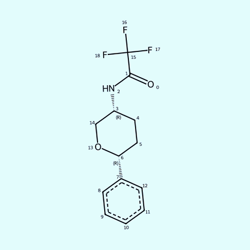 O=C(N[C@@H]1CC[C@H](c2ccccc2)OC1)C(F)(F)F